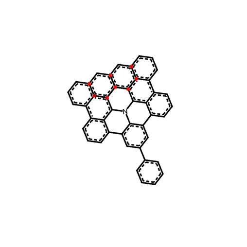 c1ccc(-c2cc3c4c(c2)-c2cccc5c2c(c(-c2ccccc2)c2ccccc25)N4c2c(-c4ccccc4)c4ccccc4c4cccc-3c24)cc1